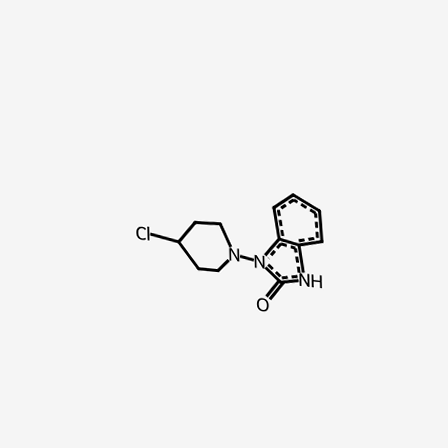 O=c1[nH]c2ccccc2n1N1CCC(Cl)CC1